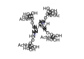 CC(=O)N[C@H]1[C@H](OCCOCCN/C=C(/CN(CCCC[C@@H](C(=O)O)N(C/C(=C/NCCOCCO[C@@H]2O[C@H](CO)[C@H](O)[C@H](O)[C@H]2NC(C)=O)N=N)Cc2cn(CCOCCOC3O[C@H](CO)[C@H](O)[C@H](O)[C@H]3NC(C)=O)nn2)Cc2cn(CCOCCO[C@@H]3O[C@H](CO)[C@H](O)[C@H](O)[C@H]3NC(C)=O)nn2)N=N)O[C@H](CO)[C@H](O)[C@@H]1O